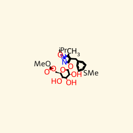 COC(=O)OC[C@H]1O[C@@H](Oc2nn(OC(C)C)c(C)c2Cc2ccc(SC)cc2)[C@H](O)[C@@H](O)[C@@H]1O